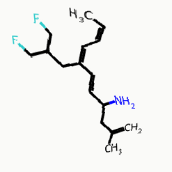 C=C(C)CC(N)/C=C/C(=C\C=C/C)CC(CF)CF